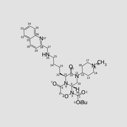 CC(C)COC(=O)N1OCC(=O)N2[C@@H]1CN(C1CCN(C)CC1)C(=O)[C@@H]2CCCCNCc1ccc2ccccc2n1